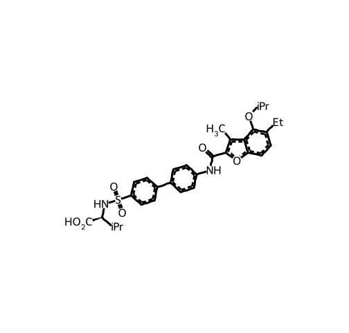 CCc1ccc2oc(C(=O)Nc3ccc(-c4ccc(S(=O)(=O)N[C@H](C(=O)O)C(C)C)cc4)cc3)c(C)c2c1OC(C)C